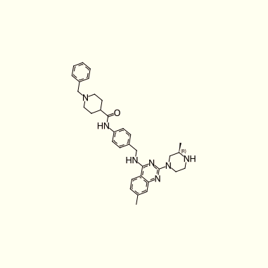 Cc1ccc2c(NCc3ccc(NC(=O)C4CCN(Cc5ccccc5)CC4)cc3)nc(N3CCN[C@H](C)C3)nc2c1